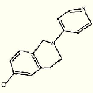 Clc1ccc2c(c1)CCN(c1ccncc1)C2